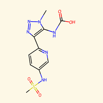 Cn1nnc(-c2ccc(NS(C)(=O)=O)cn2)c1NC(=O)O